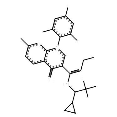 CC/C=C(/NC(C1CC1)C(C)(F)F)c1cn(-c2c(F)cc(F)cc2Cl)c2nc(C)ccc2c1=N